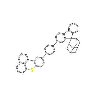 c1ccc2c(c1)-c1ccc(-c3ccc(-c4ccc5c(c4)-c4cccc6cccc(c46)S5)cc3)cc1C21C2CC3CC(C2)CC1C3